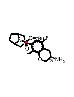 CC(C)(C)OC(=O)N1C2CCC1CN(c1cc(F)c3c(c1F)OC[C@H](N)C3)C2